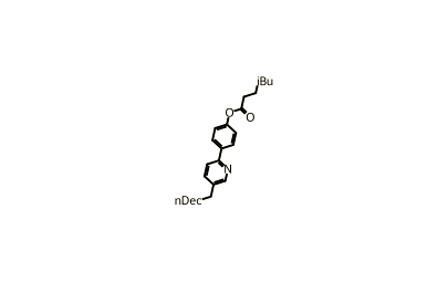 CCCCCCCCCCCc1ccc(-c2ccc(OC(=O)CCC(C)CC)cc2)nc1